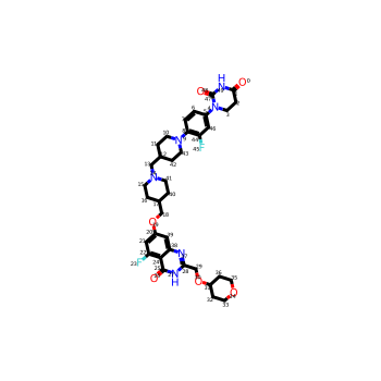 O=C1CCN(c2ccc(N3CCC(CN4CCC(COc5cc(F)c6c(=O)[nH]c(COC7CCOCC7)nc6c5)CC4)CC3)c(F)c2)C(=O)N1